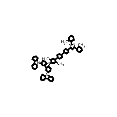 Cc1cc(-n2c3ccc(-n4c5ccccc5c5ccccc54)cc3c3cc(-n4c5ccccc5c5ccccc54)ccc32)c(C)cc1-c1ccc(-c2ccc(-c3cc(-c4ccccc4C)nc(-c4ccccc4C)n3)cc2)cc1